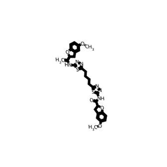 C=C(Nc1nnc(CCCCc2nnc(NC(=O)C3Cc4cc(OC)ccc4O3)s2)s1)C1Cc2cc(OC)ccc2O1